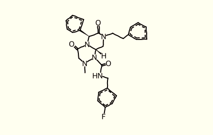 CN1CC(=O)N2[C@@H](c3ccccc3)C(=O)N(CCc3ccccc3)C[C@@H]2N1C(=O)NCc1ccc(F)cc1